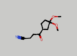 COC1(OC)CCC(C(=O)CCC#N)C1